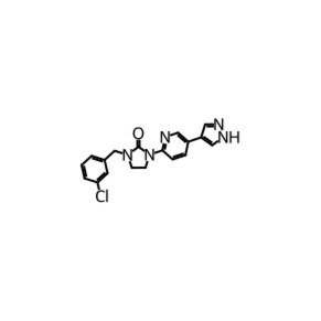 O=C1N(Cc2cccc(Cl)c2)CCN1c1ccc(-c2cn[nH]c2)cn1